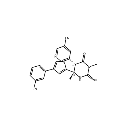 CN1C(=N)N[C@](C)(c2cc(-c3cccc(C#N)c3)cs2)[C@H](c2cncc(C#N)c2)C1=O